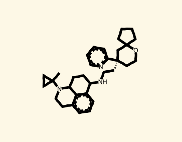 CC1(N2CCc3cccc4c3C2CCC4NCC[C@@]2(c3ccccn3)CCOC3(CCCC3)C2)CC1